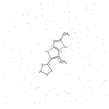 Cc1cc2sc(C3CCCC3)c(C)c2s1